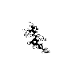 C=C(C)c1c(N)ncnc1N(C)C(C)c1cc(Cl)c(C#N)c(C2CN(C(=O)OC)C2)c1OC